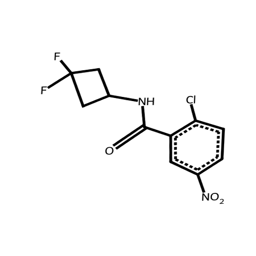 O=C(NC1CC(F)(F)C1)c1cc([N+](=O)[O-])ccc1Cl